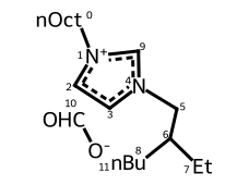 CCCCCCCC[n+]1ccn(CC(CC)CCCC)c1.O=C[O-]